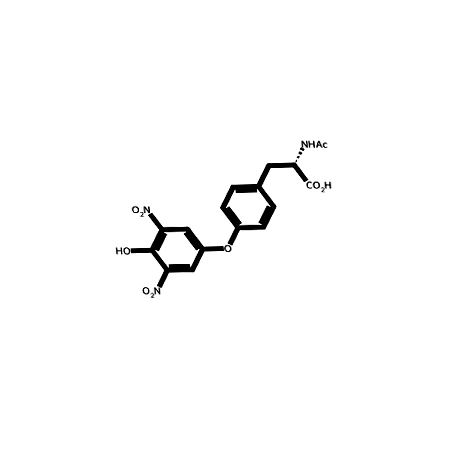 CC(=O)N[C@@H](Cc1ccc(Oc2cc([N+](=O)[O-])c(O)c([N+](=O)[O-])c2)cc1)C(=O)O